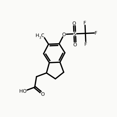 Cc1cc2c(cc1OS(=O)(=O)C(F)(F)F)CCC2CC(=O)O